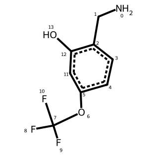 NCc1ccc(OC(F)(F)F)cc1O